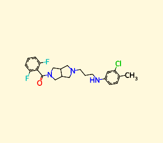 Cc1ccc(NCCCN2CC3CN(C(=O)c4c(F)cccc4F)CC3C2)cc1Cl